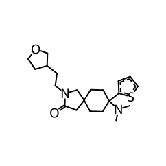 CN(C)C1(c2cccs2)CCC2(CC1)CC(=O)N(CCC1CCOC1)C2